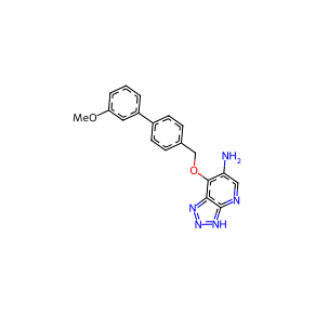 COc1cccc(-c2ccc(COc3c(N)cnc4[nH]nnc34)cc2)c1